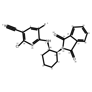 N#Cc1cc(F)c(N[C@@H]2CCCC[C@@H]2N2C(=O)c3ccccc3C2=O)nc1Cl